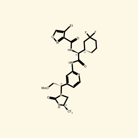 CCc1conc1C(=O)N[C@H](C(=O)Nc1cc([C@@H](COC)N2C[C@@H](C(F)(F)F)NC2=O)ccn1)[C@H]1CCCC(F)(F)C1